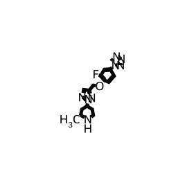 CC1CC(n2ncc(COc3ccc(-n4cnnn4)cc3F)n2)CCN1